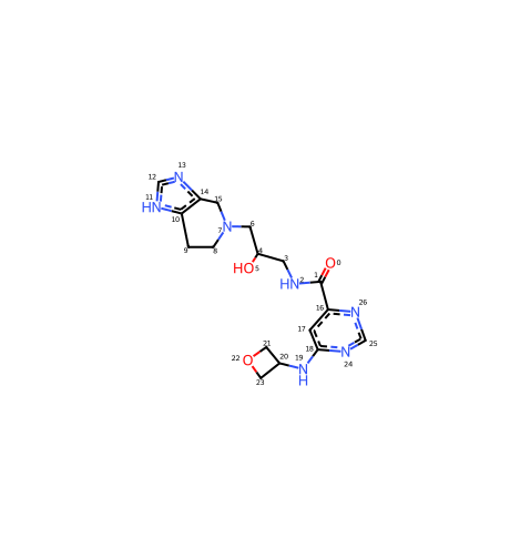 O=C(NCC(O)CN1CCc2[nH]cnc2C1)c1cc(NC2COC2)ncn1